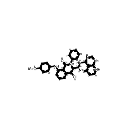 COc1ccc(Nc2cccc3c(Cl)c([C@H](C)Nc4ncnc5[nH]ccc(=O)c45)n(-c4ccccc4)c(=O)c23)cc1